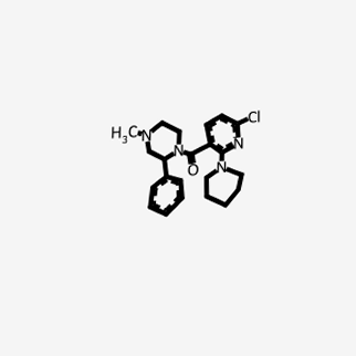 CN1CCN(C(=O)c2ccc(Cl)nc2N2CCCCC2)C(c2ccccc2)C1